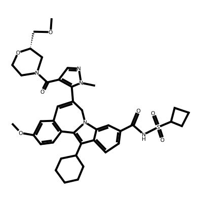 COC[C@@H]1CN(C(=O)c2cnn(C)c2C2=Cc3cc(OC)ccc3-c3c(C4CCCCC4)c4ccc(C(=O)NS(=O)(=O)C5CCC5)cc4n3C2)CCO1